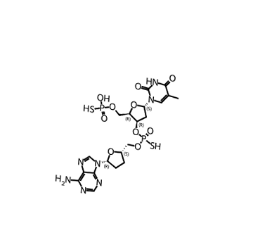 Cc1cn([C@@H]2C[C@@H](OP(=O)(S)OC[C@@H]3CC[C@H](n4cnc5c(N)ncnc54)O3)[C@@H](COP(=O)(O)S)O2)c(=O)[nH]c1=O